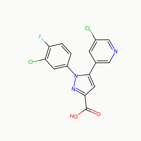 O=C(O)c1cc(-c2cncc(Cl)c2)n(-c2ccc(F)c(Cl)c2)n1